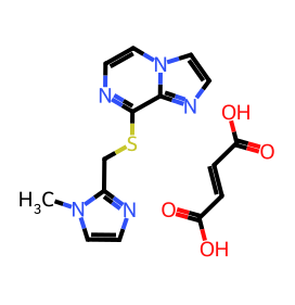 Cn1ccnc1CSc1nccn2ccnc12.O=C(O)C=CC(=O)O